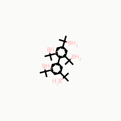 BC(C)(C)c1cc(-c2c(C(B)(C)C)cc(C(B)(C)C)cc2C(B)(C)C)cc(C(B)(C)C)c1